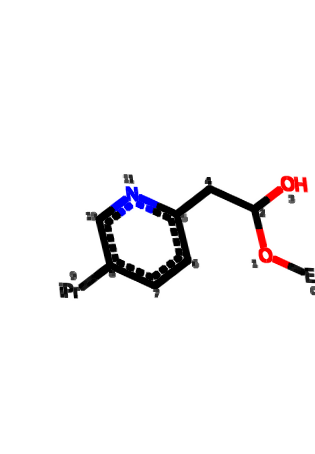 CCOC(O)Cc1ccc(C(C)C)cn1